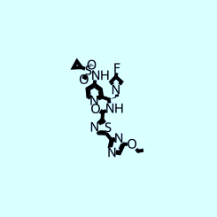 CCOc1cncc(-c2cnc(C(=O)N[C@@H](CN3CC(F)C3)c3cc(NS(=O)(=O)C4CC4)ccn3)s2)n1